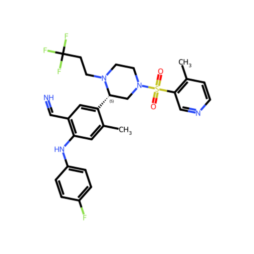 Cc1cc(Nc2ccc(F)cc2)c(C=N)cc1[C@H]1CN(S(=O)(=O)c2cnccc2C)CCN1CCC(F)(F)F